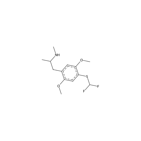 CNC(C)Cc1cc(OC)c(SC(F)F)cc1OC